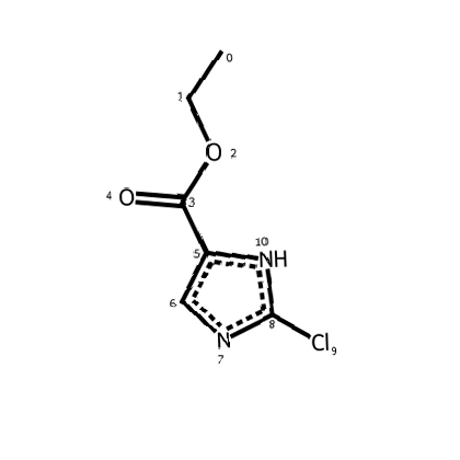 CCOC(=O)c1cnc(Cl)[nH]1